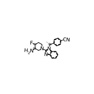 C[C@H](c1ccc(C#N)cc1)n1c(N2CC[C@H](F)[C@H](N)C2)nc2ccccc21